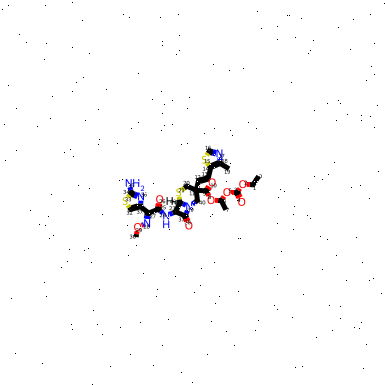 CCOC(=O)OC(C)OC(=O)C1(C=Cc2scnc2C)CS[C@@H]2C(NC(=O)C(=NOC)c3csc(N)n3)C(=O)N2C1